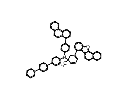 CC1(N(c2ccc(-c3ccc(-c4ccccc4)cc3)cc2)c2ccc(-c3cccc4c3ccc3ccccc34)cc2)C=CC=C(c2cccc3oc4c5ccccc5ccc4c23)C1